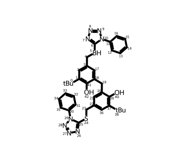 CC(C)(C)c1cc(CBc2nnnn2-c2ccccc2)cc(Cc2cc(CSc3nnnn3-c3ccccc3)cc(C(C)(C)C)c2O)c1O